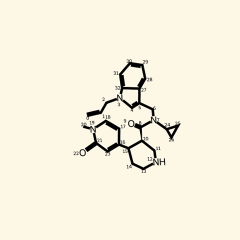 C=CCn1cc(CN(C(=O)[C@H]2CNCCC2c2ccn(C)c(=O)c2)C2CC2)c2ccccc21